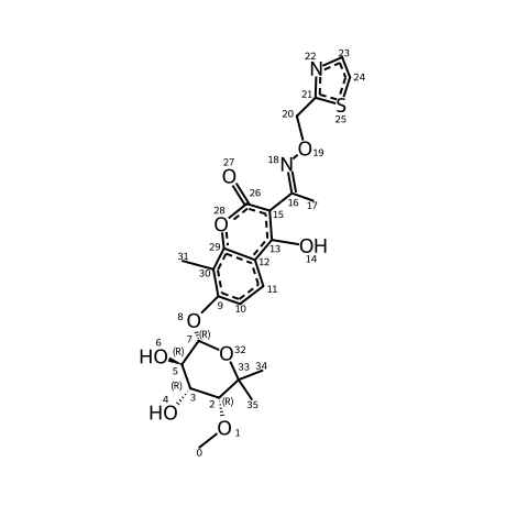 CO[C@@H]1[C@H](O)[C@@H](O)[C@H](Oc2ccc3c(O)c(C(C)=NOCc4nccs4)c(=O)oc3c2C)OC1(C)C